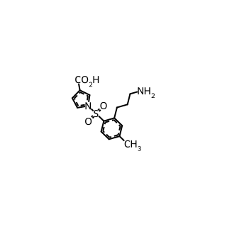 Cc1ccc(S(=O)(=O)n2ccc(C(=O)O)c2)c(CCCN)c1